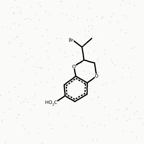 CC(Br)C1COc2ccc(C(=O)O)cc2O1